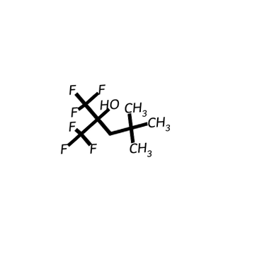 CC(C)(C)CC(O)(C(F)(F)F)C(F)(F)F